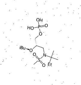 CC[C@H](C)O[C@H](COP(=O)(O)O)CN(C(C)(C)CC)S(C)(=O)=O